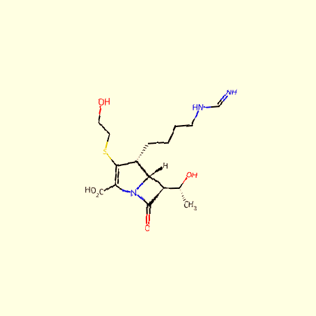 C[C@@H](O)[C@H]1C(=O)N2C(C(=O)O)=C(SCCO)[C@H](CCCCNC=N)[C@H]12